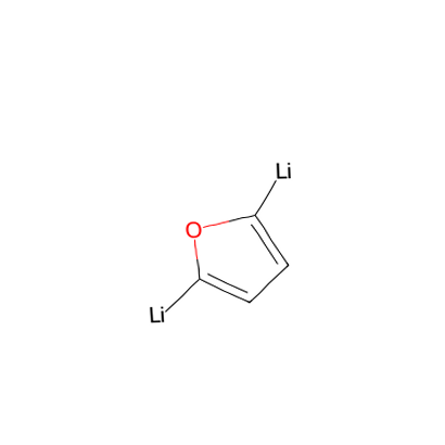 [Li][c]1cc[c]([Li])o1